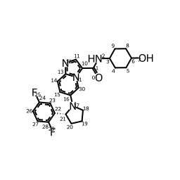 O=C(NC1CCC(O)CC1)c1cnc2ccc(N3CCC[C@@H]3c3cc(F)ccc3F)cn12